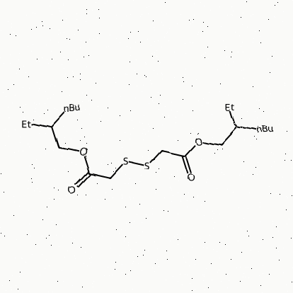 CCCCC(CC)COC(=O)CSSCC(=O)OCC(CC)CCCC